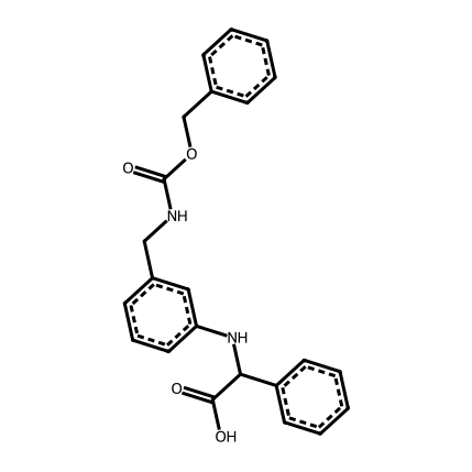 O=C(NCc1cccc(NC(C(=O)O)c2ccccc2)c1)OCc1ccccc1